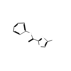 O=C(Nc1ccccc1)c1nc(C(F)(F)F)cs1